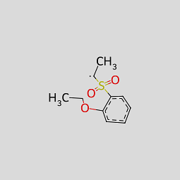 C[CH]S(=O)(=O)c1ccccc1OCC